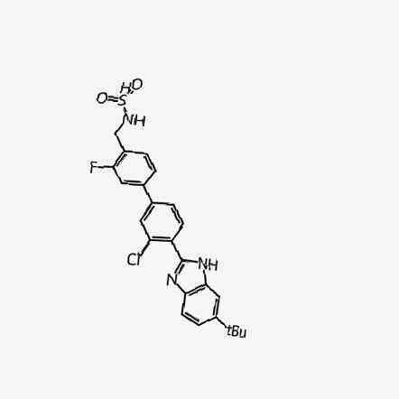 CC(C)(C)c1ccc2nc(-c3ccc(-c4ccc(CN[SH](=O)=O)c(F)c4)cc3Cl)[nH]c2c1